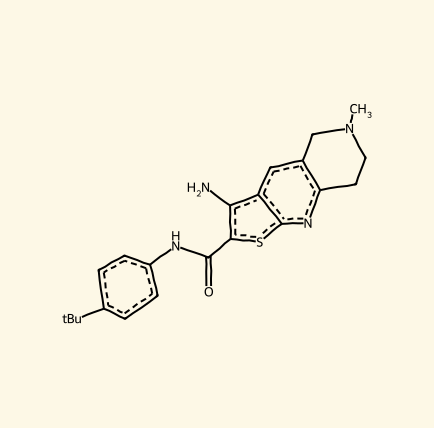 CN1CCc2nc3sc(C(=O)Nc4ccc(C(C)(C)C)cc4)c(N)c3cc2C1